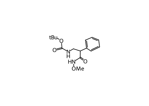 CONC(=O)C(CNC(=O)OC(C)(C)C)c1ccccc1